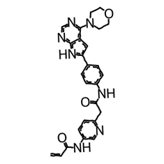 C=CC(=O)Nc1ccc(CC(=O)Nc2ccc(-c3cc4c(N5CCOCC5)ncnc4[nH]3)cc2)nc1